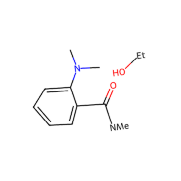 CCO.CNC(=O)c1ccccc1N(C)C